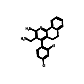 NCc1c(N)nc2c(c1-c1ccc(Cl)cc1Cl)CCc1ccccc1-2